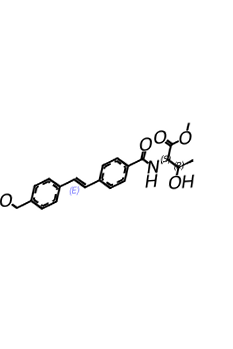 COC(=O)[C@@H](NC(=O)c1ccc(/C=C/c2ccc(CO)cc2)cc1)[C@@H](C)O